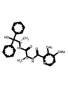 COc1ccnc(C(=O)N[C@@H](C)C(=O)N[C@@H](C)C(O)(c2ccccc2)c2ccccc2)c1OC(C)=O